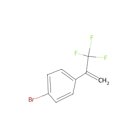 C=C(c1ccc(Br)cc1)C(F)(F)F